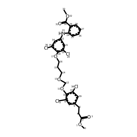 COC(=O)CCc1cc(Cl)c(OCOCCCOc2c(Cl)cc(Nc3ccccc3C(=O)OC)cc2Cl)c(Cl)c1